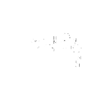 C=C/C=C(\C=C/CN)C(=O)NCc1cccc2nc(C)n(C3CC[C@H](O)NC3=O)c(=O)c12